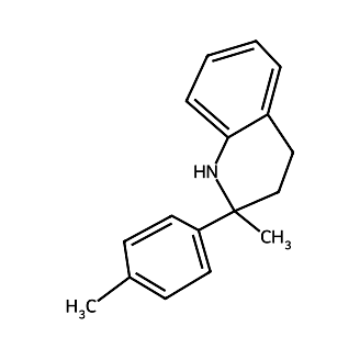 Cc1ccc(C2(C)CCc3ccccc3N2)cc1